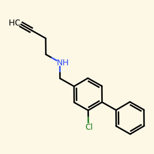 C#CCCNCc1ccc(-c2ccccc2)c(Cl)c1